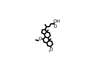 CCOC1CC2CC(OC)CCC2(C)C2CCC3(C)C(C(C)CCC(=O)O)CCC3C12